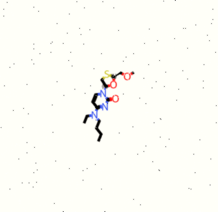 CCCCN(CC)c1ccn([C@H]2CS[C@@H](COC)O2)c(=O)n1